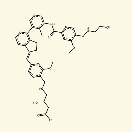 COc1cc(C(=O)Nc2cccc(-c3cccc4c3CC/C4=C\c3ccc(CNC[C@@H](O)CC(=O)O)c(OC)c3)c2C)ncc1CNCCO